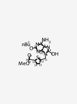 CCCCOc1nc(N)c2nc(O)n(Cc3ccc(C(=O)OC)s3)c2n1